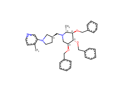 C[C@@H]1[C@@H](OCc2ccccc2)[C@H](OCc2ccccc2)[C@@H](OCc2ccccc2)CN1C[C@H]1CCN(c2cnccc2C(F)(F)F)C1